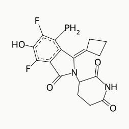 O=C1CCC(N2C(=O)c3c(F)c(O)c(F)c(P)c3C2=C2CCC2)C(=O)N1